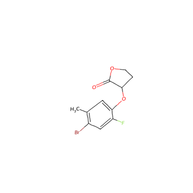 Cc1cc(OC2CCOC2=O)c(F)cc1Br